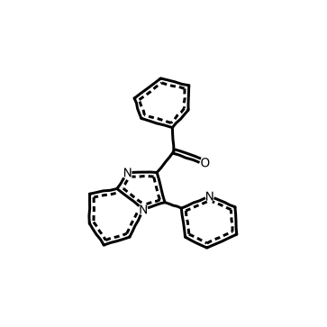 O=C(c1ccccc1)c1nc2ccccn2c1-c1ccccn1